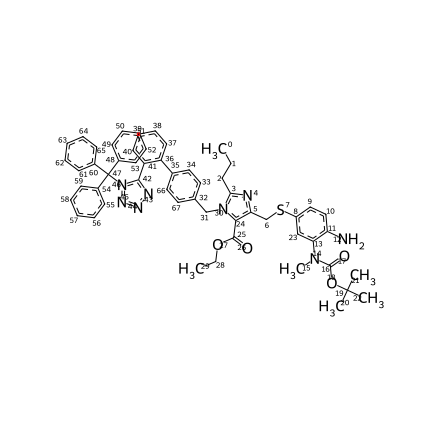 CCCc1nc(CSc2ccc(N)c(N(C)C(=O)OC(C)(C)C)c2)c(C(=O)OCC)n1Cc1ccc(-c2ccccc2-c2nnnn2C(c2ccccc2)(c2ccccc2)c2ccccc2)cc1